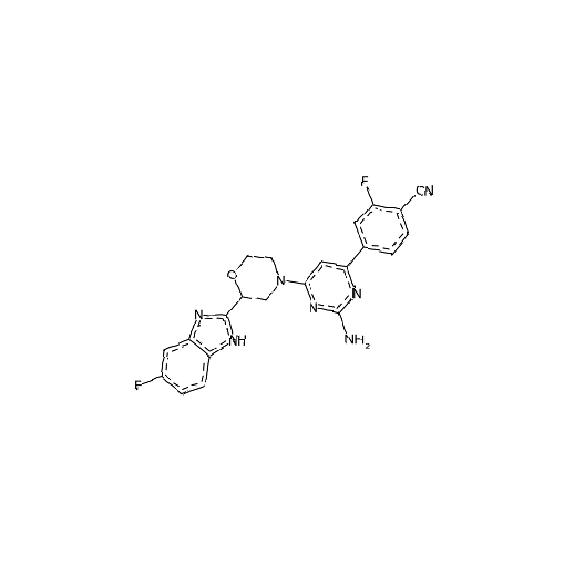 N#Cc1ccc(-c2cc(N3CCOC(c4nc5cc(F)ccc5[nH]4)C3)nc(N)n2)cc1F